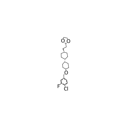 Fc1cc(COC2CCC([C@H]3CC[C@H](CCC4OCCO4)CC3)CC2)ccc1Cl